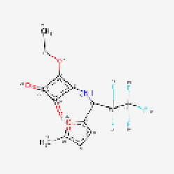 CCOc1c(NC(c2ccc(C)o2)C(F)(F)C(F)(F)F)c(=O)c1=O